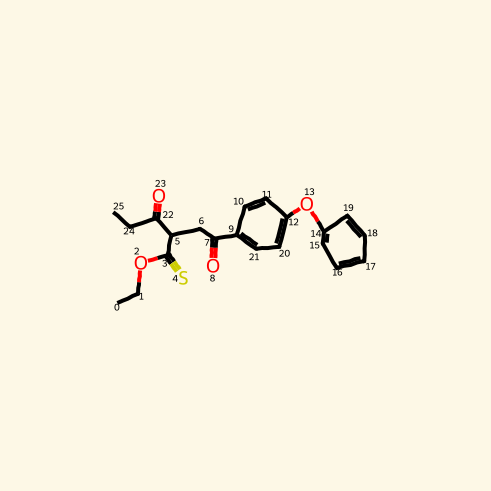 CCOC(=S)C(CC(=O)c1ccc(Oc2ccccc2)cc1)C(=O)CC